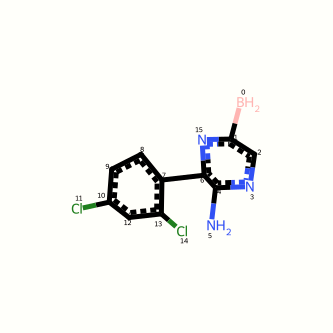 Bc1cnc(N)c(-c2ccc(Cl)cc2Cl)n1